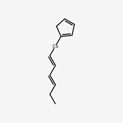 CCC=CC=[CH][Co][C]1=CC=CC1